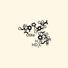 CC(C)=C1OC(=O)N(c2cc(OC3CCCC3)c(Cl)cc2F)C1=O.CC1COc2ccccc2N1C(=O)C(Cl)Cl.CCc1cccc(C)c1N(C(=O)CCl)C(C)COC.CP(=O)(O)CCC(N)C(=O)O